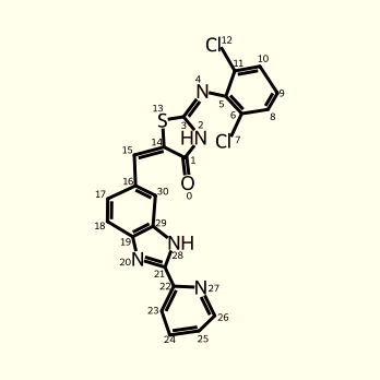 O=C1NC(=Nc2c(Cl)cccc2Cl)SC1=Cc1ccc2nc(-c3ccccn3)[nH]c2c1